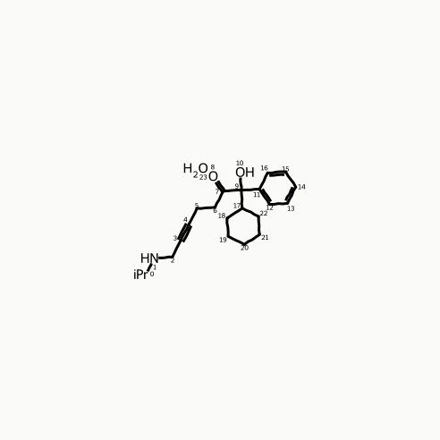 CC(C)NCC#CCCC(=O)C(O)(c1ccccc1)C1CCCCC1.O